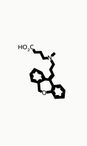 CN(CC/C=C1\c2ccccc2COc2ccccc21)CCCC(=O)O